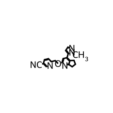 Cn1nccc1-c1cc(OCc2ccc(C#N)cn2)nc2c1CCC2